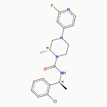 C[C@H](NC(=O)N1CCN(c2ccnc(F)c2)C[C@H]1C)c1ccccc1Cl